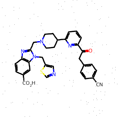 N#Cc1ccc(CC(=O)c2cccc(C3CCN(Cc4nc5ccc(C(=O)O)cc5n4Cc4cncs4)CC3)n2)cc1